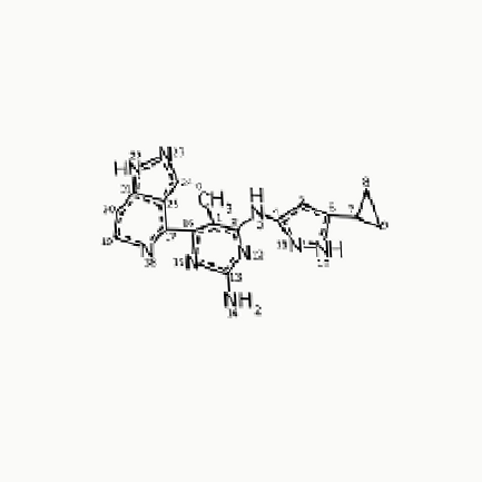 Cc1c(Nc2cc(C3CC3)[nH]n2)nc(N)nc1-c1nccc2[nH]ncc12